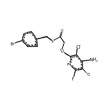 Nc1c(Cl)c(F)nc(OCC(=O)SCc2ccc(Br)cc2)c1Cl